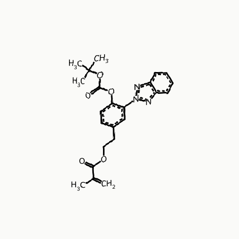 C=C(C)C(=O)OCCc1ccc(OC(=O)OC(C)(C)C)c(-n2nc3ccccc3n2)c1